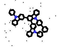 c1ccc(-c2ccc(-n3c4ccccc4c4cc(-c5ccc6c(c5)c5ccccc5n6-c5ccccc5)cc(-c5ccc6c(c5)c5ccccc5n6-c5ccccc5)c43)cc2)cc1